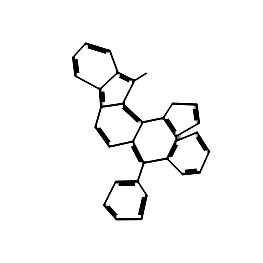 [Cl-].[Cl-].[Zr+2][C]1=c2ccccc2=c2ccc(=C(c3ccccc3)c3ccccc3)c(C3=CC=CC3)c21